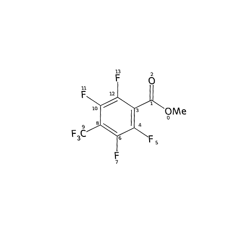 COC(=O)c1c(F)c(F)c(C(F)(F)F)c(F)c1F